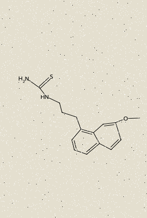 COc1ccc2cccc(CCCNC(N)=S)c2c1